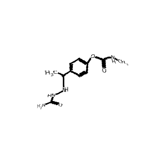 CNC(=O)Oc1ccc(C(C)NNC(N)=O)cc1